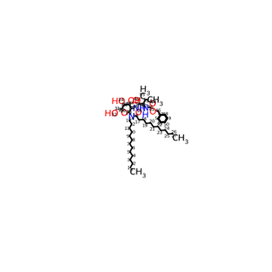 CCCCCCCCCCCCCCN(C(=O)CCCCCCCCCCC)[C@@H]1O[C@H](CO)[C@@H](O)[C@H](O)[C@H]1NC(=O)[C@@H](NC(=O)OCc1ccccc1)C(C)C